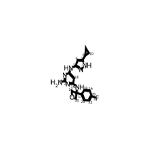 Nc1nc(Nc2cc(C3CC3)[nH]n2)cc(NC2(c3ccc(F)cc3)COC2)n1